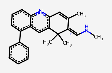 CN/C=C1\C(C)=Cc2nc3cccc(-c4ccccc4)c3cc2C1(C)C